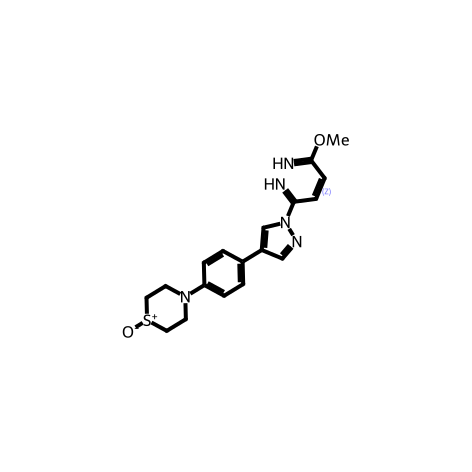 COC(=N)/C=C\C(=N)n1cc(-c2ccc(N3CC[S+]([O-])CC3)cc2)cn1